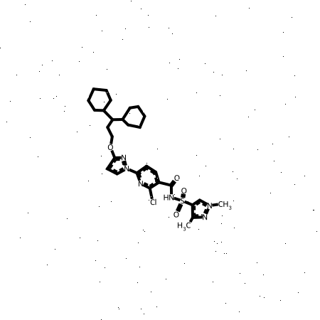 Cc1nn(C)cc1S(=O)(=O)NC(=O)c1ccc(-n2ccc(OCCC(C3CCCCC3)C3CCCCC3)n2)nc1Cl